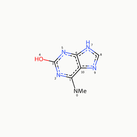 CNc1nc(O)nc2[nH]cnc12